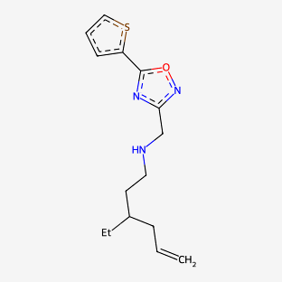 C=CCC(CC)CCNCc1noc(-c2cccs2)n1